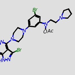 CC(=O)ON(CCN1CCCC1)c1cc(Br)cc(N2CCN(c3ncnc4[nH]nc(Br)c34)CC2)c1